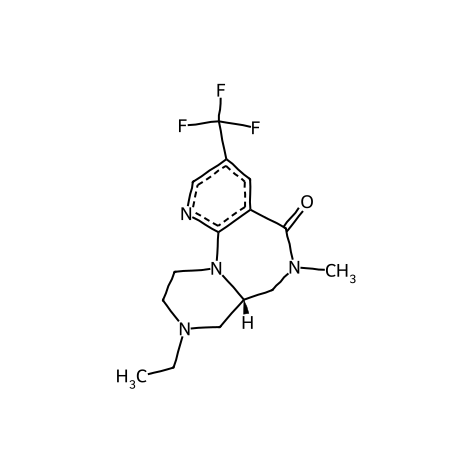 CCN1CCN2c3ncc(C(F)(F)F)cc3C(=O)N(C)C[C@@H]2C1